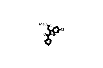 COC(=O)Cc1c(C(=O)c2ccccc2)[nH]c2cc(Cl)ccc12